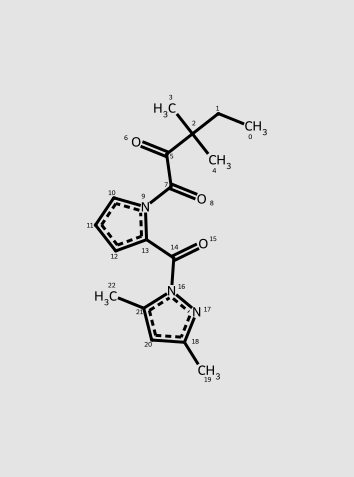 CCC(C)(C)C(=O)C(=O)n1cccc1C(=O)n1nc(C)cc1C